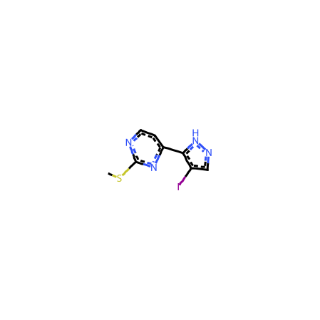 CSc1nccc(-c2[nH]ncc2I)n1